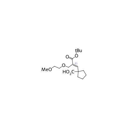 COCCOC/C(=C\C1(C(=O)O)CCCC1)C(=O)OC(C)(C)C